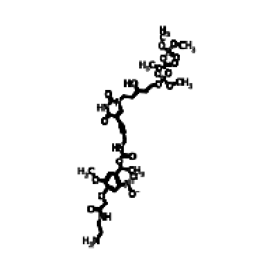 COc1cc(C(C)OC(=O)NCC#Cc2cn(CCC(O)CCOP(=O)(OC)OP(=O)(OC)OP(=O)(OC)OC)c(=O)[nH]c2=O)c([N+](=O)[O-])cc1OCC(=O)NCCN